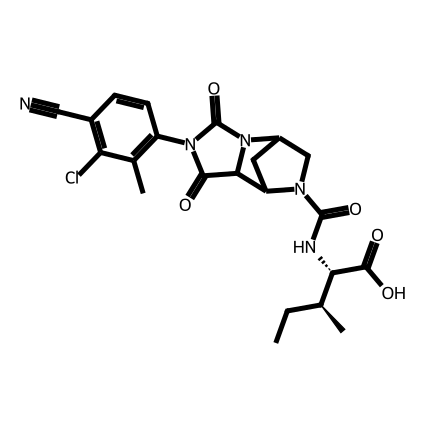 CC[C@H](C)[C@H](NC(=O)N1CC2CC1C1C(=O)N(c3ccc(C#N)c(Cl)c3C)C(=O)N21)C(=O)O